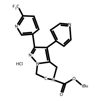 CC(C)(C)OC(=O)N1CCn2nc(-c3ccc(C(F)(F)F)nc3)c(-c3ccncc3)c2C1.Cl